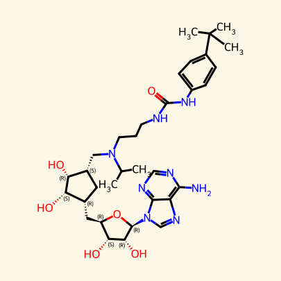 CC(C)N(CCCNC(=O)Nc1ccc(C(C)(C)C)cc1)C[C@@H]1C[C@H](C[C@H]2O[C@@H](n3cnc4c(N)ncnc43)[C@H](O)[C@@H]2O)[C@H](O)[C@@H]1O